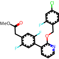 COC(=O)Cc1cc(F)c(-c2cccnc2OCc2ccc(Cl)cc2F)cc1F